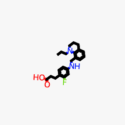 CCCN1CCCc2cccc(CNc3ccc(CCC(=O)O)c(F)c3)c21